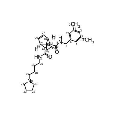 Cc1cc(C)cc(CNC(=O)[C@H]2[C@H](C(=O)NCCCCN3CCCC3)[C@H]3C=C[C@@H]2C32CC2)c1